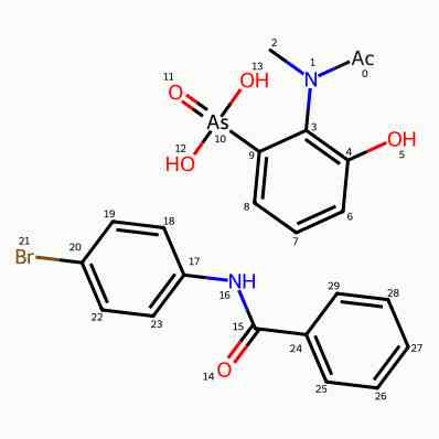 CC(=O)N(C)c1c(O)cccc1[As](=O)(O)O.O=C(Nc1ccc(Br)cc1)c1ccccc1